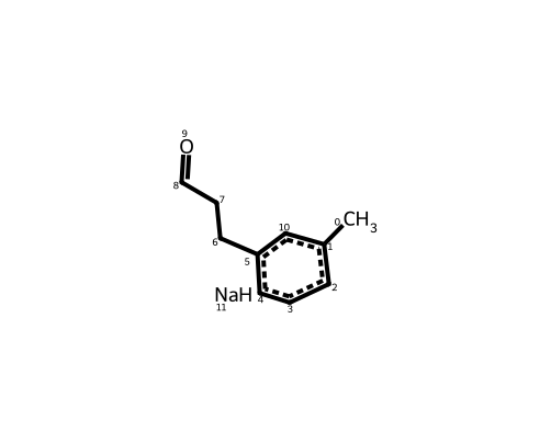 Cc1cccc(CCC=O)c1.[NaH]